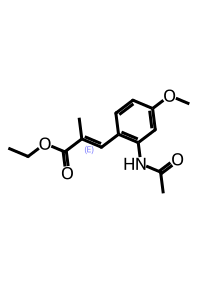 CCOC(=O)/C(C)=C/c1ccc(OC)cc1NC(C)=O